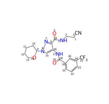 N#CCCNC(=O)c1nn(C2CCCCO2)cc1NC(=O)c1cccc(C(F)(F)F)c1